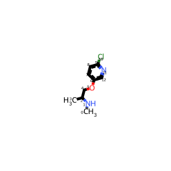 CNC(C)COc1ccc(Cl)nc1